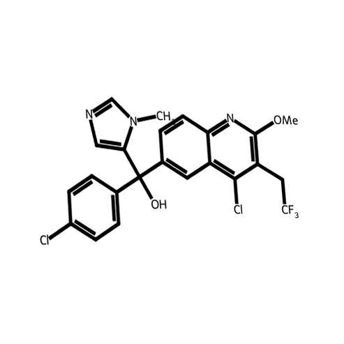 COc1nc2ccc(C(O)(c3ccc(Cl)cc3)c3cncn3C)cc2c(Cl)c1CC(F)(F)F